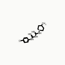 CC1CCN(NC(=N)NC(=N)Nc2ccc(Cl)cc2)CC1